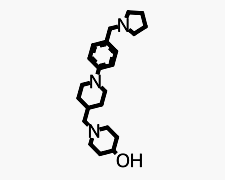 OC1CCN(CC2CCN(c3ccc(CN4CCCC4)cc3)CC2)CC1